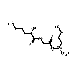 NCCC[C@H](N)C(=O)NCC(=O)N[C@H](CCCN)C(=O)O